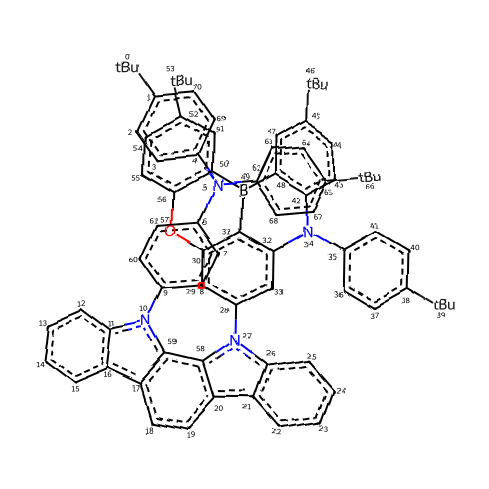 CC(C)(C)c1ccc(N(c2ccc(-n3c4ccccc4c4ccc5c6ccccc6n(-c6cc7c8c(c6)N(c6ccc(C(C)(C)C)cc6)c6ccc(C(C)(C)C)cc6B8c6cc(C(C)(C)C)ccc6O7)c5c43)cc2)c2ccc(C(C)(C)C)cc2)cc1